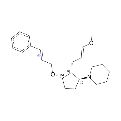 COC=CC[C@H]1[C@@H](OC/C=C/c2ccccc2)CC[C@@H]1N1CCCCC1